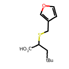 CC(C)(C)CC(SCc1ccoc1)C(=O)O